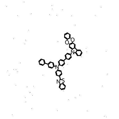 c1ccc(-c2ccc(N(c3ccc(-c4ccc(-n5c6ccccc6c6cc7c(cc65)Oc5ccccc5O7)cc4)cc3)c3ccc(-c4nc5ccccc5s4)cc3)cc2)cc1